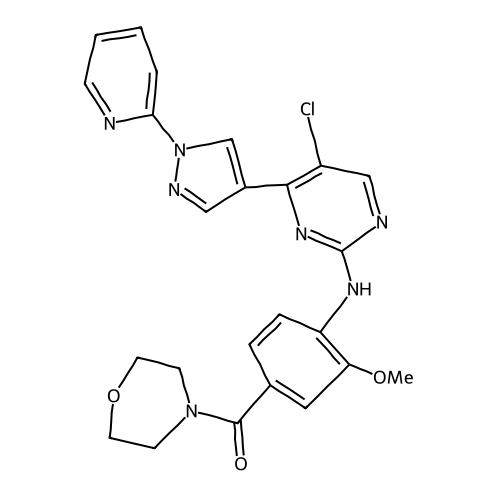 COc1cc(C(=O)N2CCOCC2)ccc1Nc1ncc(Cl)c(-c2cnn(-c3ccccn3)c2)n1